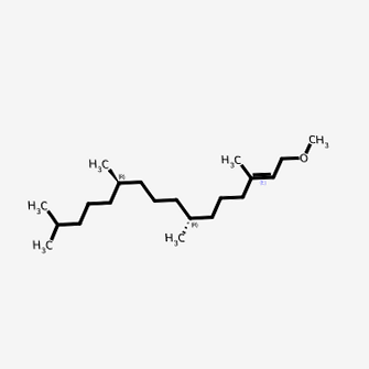 COC/C=C(\C)CCC[C@H](C)CCC[C@H](C)CCCC(C)C